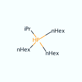 CCCCCC[PH](CCCCCC)(CCCCCC)C(C)C